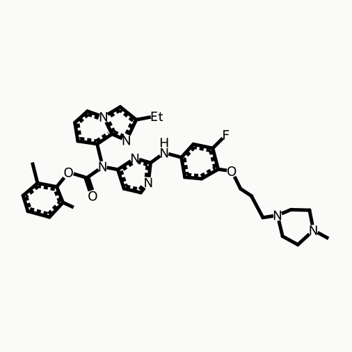 CCc1cn2cccc(N(C(=O)Oc3c(C)cccc3C)c3ccnc(Nc4ccc(OCCCN5CCN(C)CC5)c(F)c4)n3)c2n1